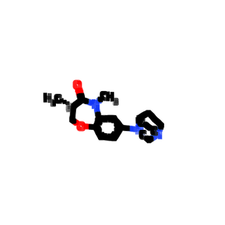 C[C@H]1COc2ccc(N3CCN4CCC3CC4)cc2N(C)C1=O